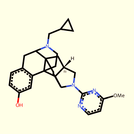 COc1ccnc(N2C[C@H]3CC45CCC2C3C42CCN(CC3CC3)C5Cc3ccc(O)cc32)n1